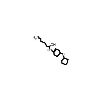 NCCCCC(O)NC1=CCC(OC2CCCCC2)CC1